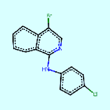 Clc1ccc(Nc2ncc(Br)c3ccccc23)cc1